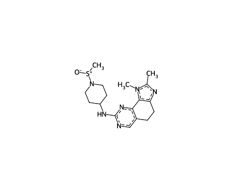 Cc1nc2c(n1C)-c1nc(NC3CCN([S+](C)[O-])CC3)ncc1CC2